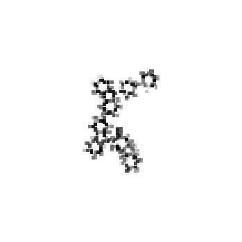 c1ccc(-c2ccc(-n3c4ccccc4c4cc(-c5ccc6c7ccccc7n(C7NCc8oc9ccccc9c8N7)c6c5)ccc43)cc2)cc1